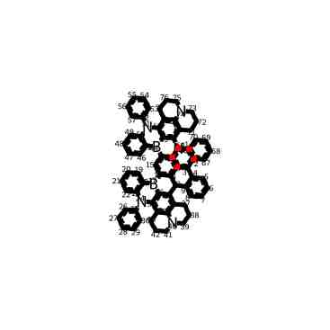 c1ccc(-c2ccccc2C2c3cc4c(cc3B3c5ccccc5N(c5ccccc5)c5c6c7c(c2c53)CCCN7CCC6)B2c3ccccc3N(c3ccccc3)c3c5c6c(c(c32)N4c2ccccc2)CCCN6CCC5)cc1